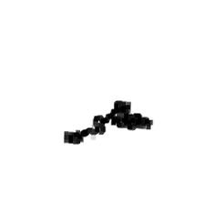 C=C1/C(=C\C=C2/CCC[C@@]3(C)C2CC[C@@H]3[C@H](C)CC#CC(C)(C)O)C[C@@H](O)[C@H](OCCC(=O)OCCC)[C@@H]1O